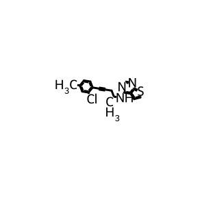 Cc1ccc(C#CCC(C)Nc2ncnc3sccc23)c(Cl)c1